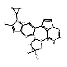 Cc1nc2ncc(-c3ccn4ncnc(N5CCC(C)(O)C5)c34)cc2n1C1CC1